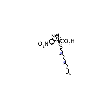 CC(C)=CCC/C(C)=C/CC/C(C)=C/CSC[C@H](Nc1ccc([N+](=O)[O-])cc1[N+](=O)[O-])C(=O)O